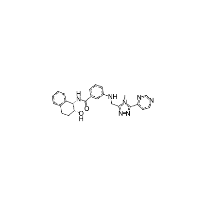 Cn1c(CNc2cccc(C(=O)N[C@H]3c4ccccc4CC[C@H]3O)c2)nnc1-c1ccncn1